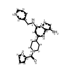 Bc1cnn2c(NCc3cccnc3)cc(C3CCN(C(=O)c4ccco4)CC3)nc12